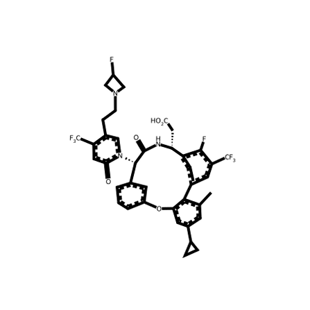 Cc1cc(C2CC2)cc2c1-c1cc(c(F)c(C(F)(F)F)c1)[C@@H](CC(=O)O)NC(=O)[C@@H](n1cc(CCN3CC(F)C3)c(C(F)(F)F)cc1=O)c1cccc(c1)O2